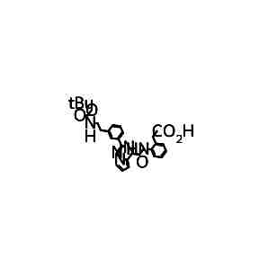 CC(C)(C)OC(=O)NCCc1cccc(-c2nc(C(=O)Nc3ccccc3CC(=O)O)c3cccn3n2)c1